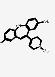 Cc1ccc2c(c1)C=C(C1=CCN(C)CC1)c1cc(C)ccc1N2